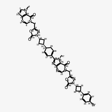 Cn1cnc2ncn(Cc3nn([C@H]4C[C@H](C5C=CC(c6nc7ncn(Cc8nn([C@H]9C[C@H](c%10ccc(Br)cc%10)C9)c(=O)o8)c(=O)c7n6C)=CC5)C4)c(=O)o3)c(=O)c21